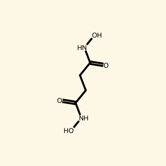 O=C(CCC(=O)NO)NO